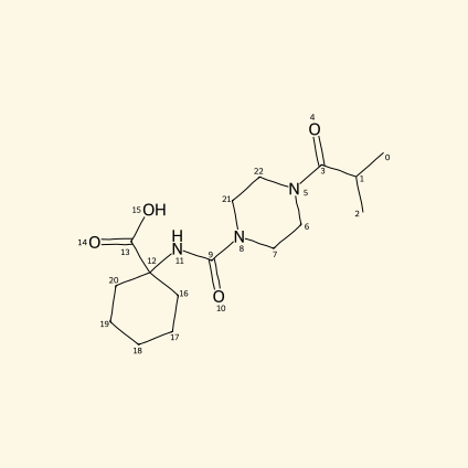 CC(C)C(=O)N1CCN(C(=O)NC2(C(=O)O)CCCCC2)CC1